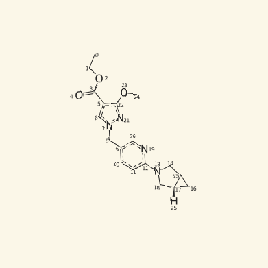 CCOC(=O)c1cn(Cc2ccc(N3CC4C[C@@H]4C3)nc2)nc1OC